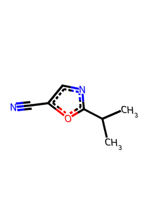 CC(C)c1ncc(C#N)o1